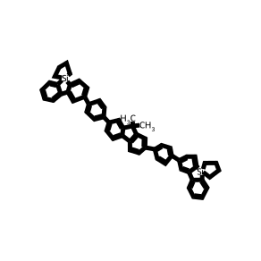 CC1(C)c2cc(-c3ccc(-c4ccc5c(c4)-c4ccccc4[Si]54CCCC4)cc3)ccc2-c2ccc(-c3ccc(-c4ccc5c(c4)-c4ccccc4[Si]54CCCC4)cc3)cc21